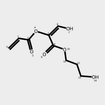 C=CC(=O)OC(=CO)C(=O)OCCCO